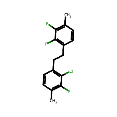 Cc1ccc(CCc2ccc(C)c(F)c2Cl)c(F)c1F